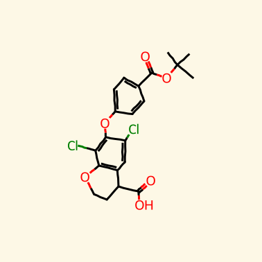 CC(C)(C)OC(=O)c1ccc(Oc2c(Cl)cc3c(c2Cl)OCCC3C(=O)O)cc1